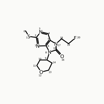 CSc1ncc2c(n1)n(C1CCOCC1)c(=O)n2CCF